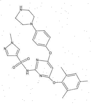 Cc1cc(C)c(Oc2cc(Oc3ccc(N4CCNCC4)cc3)nc(NS(=O)(=O)c3cnn(C)c3)n2)c(C)c1